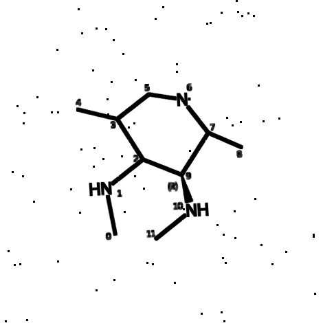 CNC1C(C)C[N]C(C)[C@H]1NC